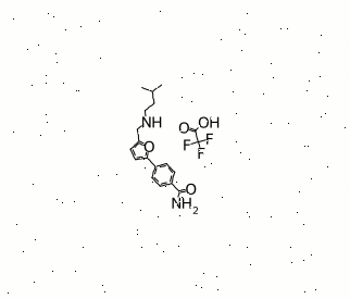 CC(C)CCNCc1ccc(-c2ccc(C(N)=O)cc2)o1.O=C(O)C(F)(F)F